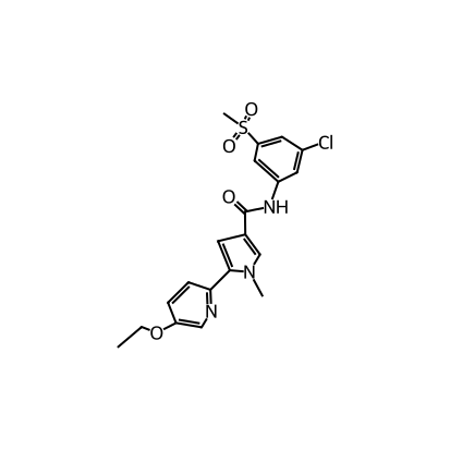 CCOc1ccc(-c2cc(C(=O)Nc3cc(Cl)cc(S(C)(=O)=O)c3)cn2C)nc1